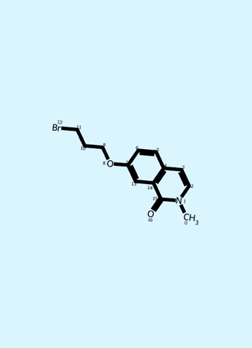 Cn1ccc2ccc(OCCCBr)cc2c1=O